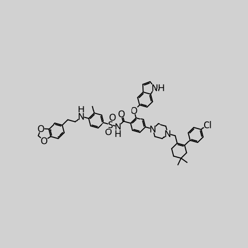 Cc1cc(S(=O)(=O)NC(=O)c2ccc(N3CCN(CC4=C(c5ccc(Cl)cc5)CC(C)(C)CC4)CC3)cc2Oc2ccc3[nH]ccc3c2)ccc1NCCc1ccc2c(c1)OCO2